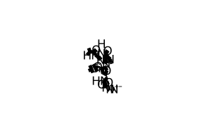 CC(C)C(=O)Nc1nc2c(ncn2[C@@H]2O[C@H](CNS(=O)(=O)N=[N+]=[N-])C[C@H]2O[Si](C)(C)C(C)(C)C)c(=O)[nH]1